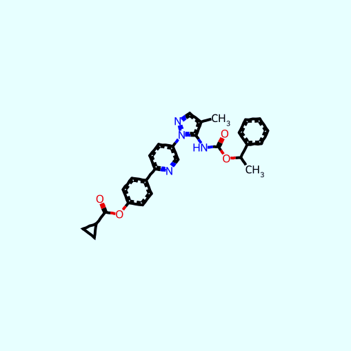 Cc1cnn(-c2ccc(-c3ccc(OC(=O)C4CC4)cc3)nc2)c1NC(=O)OC(C)c1ccccc1